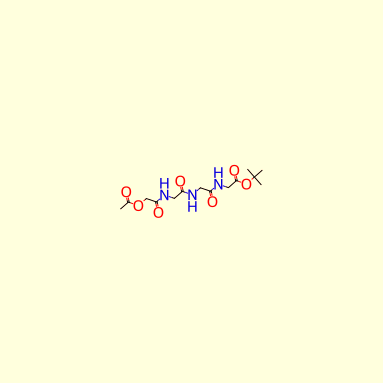 CC(=O)OCC(=O)NCC(=O)NCC(=O)NCC(=O)OC(C)(C)C